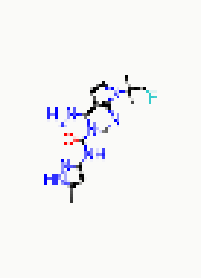 Cc1cc(NC(=O)N2CN=c3c(ccn3C(C)(C)CF)=C2N)n[nH]1